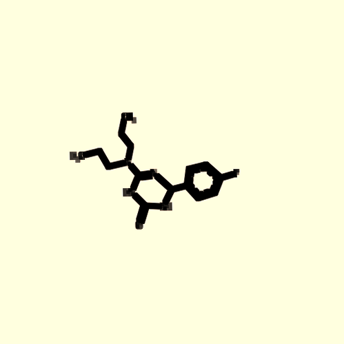 CCCN(CCC)C1=NC(c2ccc(F)cc2)NC(=O)N1